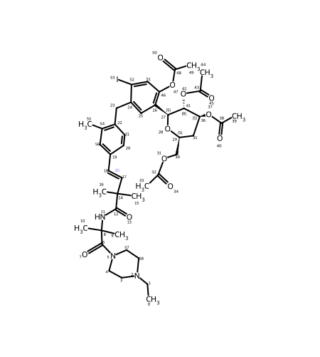 CCN1CCN(C(=O)C(C)(C)NC(=O)C(C)(C)/C=C/c2ccc(Cc3cc([C@@H]4O[C@H](COC(C)=O)C[C@H](OC(C)=O)[C@H]4OC(C)=O)c(OC(C)=O)cc3I)c(C)c2)CC1